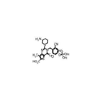 Cc1c(C(=O)O)sc2c1N=C(N1CCC[C@@H](N)C1)N(Cc1ccccc1C#N)C2=C=O.O=P(O)(O)O